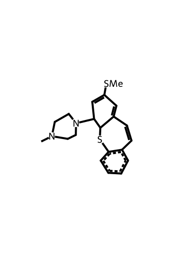 CSC1=CC(N2CCN(C)CC2)C2Sc3ccccc3C=CC2=C1